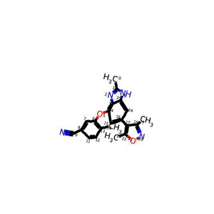 Cc1nc2c(Oc3cc(C#N)ccc3C)cc(-c3c(C)noc3C)cc2[nH]1